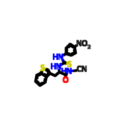 N#CCNC(=O)C(Cc1csc2ccccc12)NC(=S)Nc1ccc([N+](=O)[O-])cc1